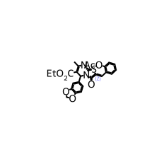 CCOC(=O)C1=C(C)N=c2s/c(=C\c3ccccc3OC(C)=O)c(=O)n2C1c1ccc2c(c1)OCO2